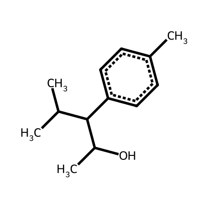 Cc1ccc(C(C(C)C)C(C)O)cc1